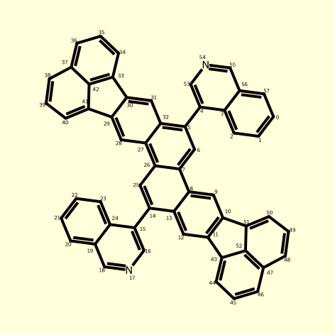 c1ccc2c(-c3cc4c5cc6c(cc5c(-c5cncc7ccccc57)cc4c4cc5c(cc34)-c3cccc4cccc-5c34)-c3cccc4cccc-6c34)cncc2c1